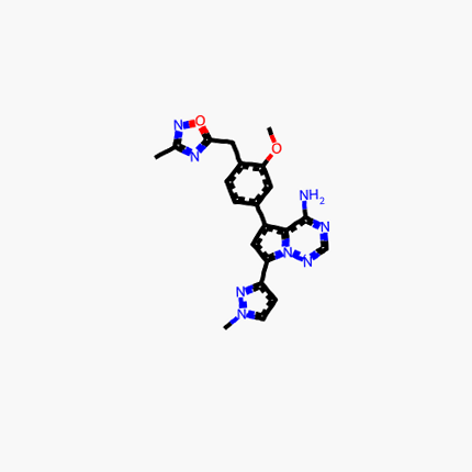 COc1cc(-c2cc(-c3ccn(C)n3)n3ncnc(N)c23)ccc1Cc1nc(C)no1